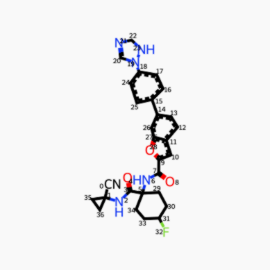 N#CC1(NC(=O)C2(NC(=O)c3cc4ccc(-c5ccc(N6C=NCN6)cc5)cc4o3)CCC(F)CC2)CC1